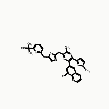 Cn1ccc(-c2nc(N)c(Cc3ncc(Cc4cccc(C(C)(C)O)n4)s3)nc2-c2cc(Cl)c3ncccc3c2)n1